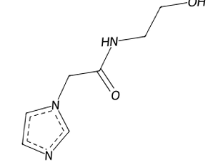 O=C(Cn1ccnc1)NCCO